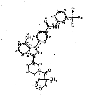 CC(CO)(CO)C(=O)N1CCC[C@@H](c2nc(-c3ccc(C(=O)Nc4cc(C(F)(F)F)ccn4)cc3)c3c(N)nccn23)C1